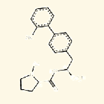 CC(=O)N1CCC[C@H]1C(=O)N[C@@H](Cc1ccc(-c2ccccc2C#N)cc1)C(=O)O